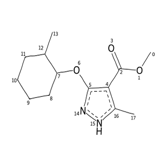 COC(=O)c1c(OC2CCCCC2C)n[nH]c1C